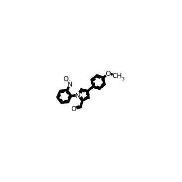 COc1ccc(-c2cc(C=O)n(-c3ccccc3N=O)c2)cc1